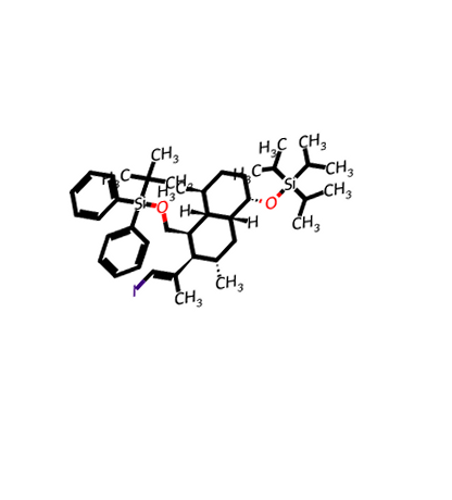 C/C(=C\I)[C@H]1[C@@H](CO[Si](c2ccccc2)(c2ccccc2)C(C)(C)C)[C@H]2[C@@H](C[C@@H]1C)[C@@H](O[Si](C(C)C)(C(C)C)C(C)C)CC[C@@H]2C